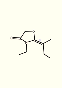 CC/C(C)=C1/SCC(=O)N1CC